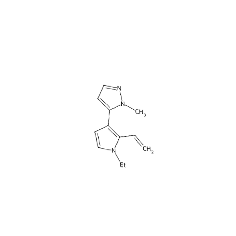 C=Cc1c(-c2ccnn2C)ccn1CC